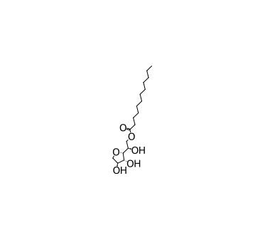 CCCCCCCCCCCC(=O)OC[C@@H](O)[C@H]1OC[C@H](O)[C@H]1O